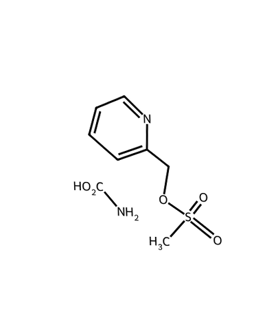 CS(=O)(=O)OCc1ccccn1.NC(=O)O